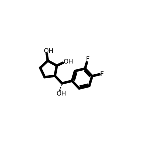 OC1CCC([C@@H](O)c2ccc(F)c(F)c2)C1O